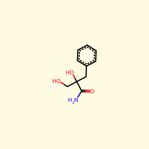 NC(=O)C(O)(CO)Cc1ccccc1